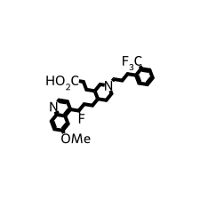 COc1ccc2nccc([C@@H](F)CCC3CCN(CCCc4ccccc4C(F)(F)F)CC3CCC(=O)O)c2c1